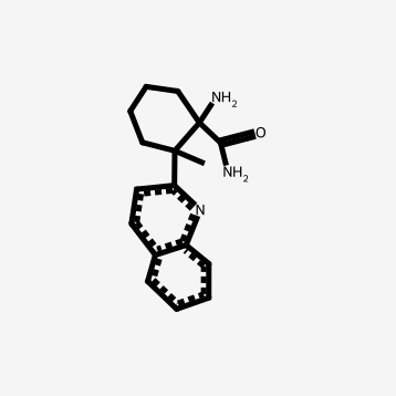 CC1(c2ccc3ccccc3n2)CCCCC1(N)C(N)=O